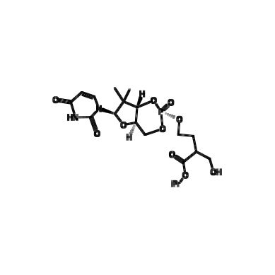 CC(C)OC(=O)C(CO)CCO[P@]1(=O)OC[C@H]2O[C@@H](n3ccc(=O)[nH]c3=O)C(C)(C)[C@@H]2O1